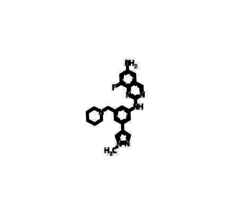 Bc1cc(F)c2nc(Nc3cc(CN4CCCCC4)cc(-c4cnn(C)c4)c3)ncc2c1